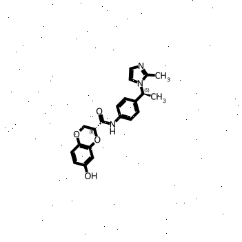 Cc1nccn1[C@@H](C)c1ccc(NC(=O)[C@H]2COc3ccc(O)cc3O2)cc1